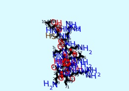 CC[C@H](C)[C@H](NC(=O)[C@H](CCC(=O)O)NC(=O)[C@H](CC(C)C)NC(=O)[C@H](CCCCN)NC(=O)[C@@H](NC(=O)[C@H](CCCNC(=N)N)NC(=O)[C@H](CO)NC(=O)[C@H](CC(C)C)NC(=O)[C@@H](N)C(C)C)[C@@H](C)CC)C(=O)N[C@@H](CCCCN)C(=O)N[C@@H](CCCNC(=N)N)C(=O)N[C@@H](CS)C(=O)N[C@@H](CC(C)C)C(=O)O